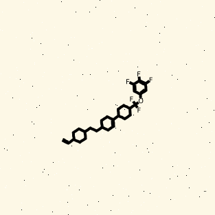 C=CC1CCC(CCC2CC=C(C3CCC(C(F)(F)Oc4cc(F)c(F)c(F)c4)CC3)CC2)CC1